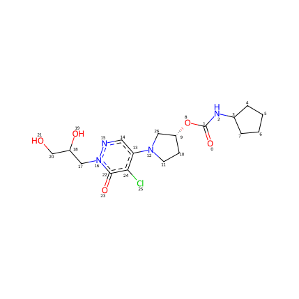 O=C(NC1CCCC1)O[C@@H]1CCN(c2cnn(CC(O)CO)c(=O)c2Cl)C1